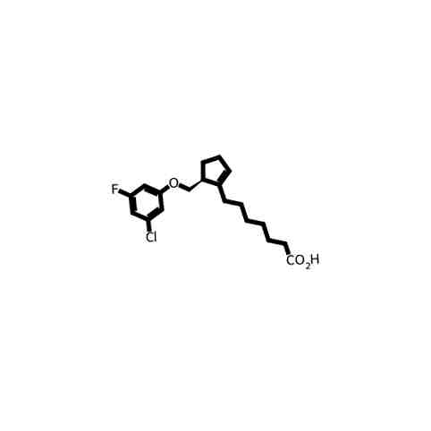 O=C(O)CCCCCCC1=CCC[C@@H]1COc1cc(F)cc(Cl)c1